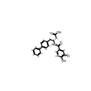 O=C(O)C[C@@H](Cc1ccc(-c2ccccc2)cc1)NC(=O)c1cnc(O)c(Cl)c1